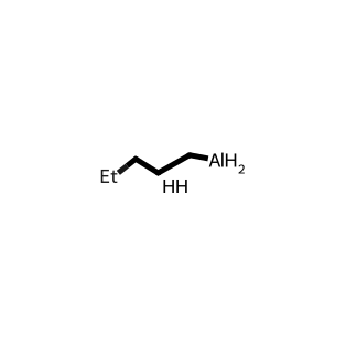 CCCC[CH2][AlH2].[HH]